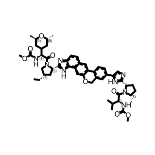 CC[C@H]1C[C@@H](c2nc3ccc4cc5c(cc4c3[nH]2)OCc2cc(-c3cnc([C@@H]4CC[C@H](C)N4C(=O)[C@@H](NC(=O)OC)C(C)C)[nH]3)ccc2-5)N(C(=O)[C@@H](NC(=O)OC)C2C[C@@H](C)O[C@H](C)C2)C1